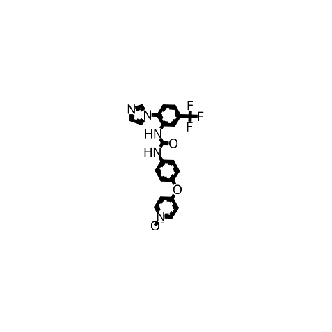 O=C(Nc1ccc(Oc2cc[n+]([O-])cc2)cc1)Nc1cc(C(F)(F)F)ccc1-n1ccnc1